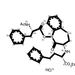 CCOC(=O)[C@H](CCc1ccccc1)N[C@H]1CSc2ccccc2N(OC(=O)[C@H](Cc2ccccc2)NC(C)=O)C1=O.Cl